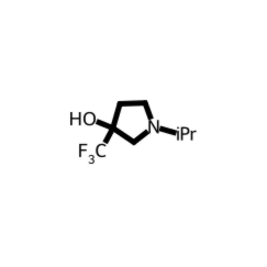 CC(C)N1CCC(O)(C(F)(F)F)C1